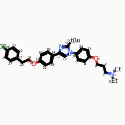 CCN(CC)CCCOc1ccc(-n2cc(-c3ccc(OCCc4ccc(Cl)cc4)cc3)nc2C(C)(C)C)cc1